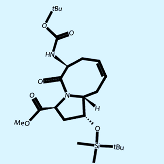 COC(=O)[C@@H]1C[C@@H](O[Si](C)(C)C(C)(C)C)[C@H]2C/C=C\C[C@H](NC(=O)OC(C)(C)C)C(=O)N21